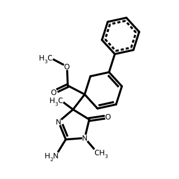 COC(=O)C1(C2(C)N=C(N)N(C)C2=O)C=CC=C(c2ccccc2)C1